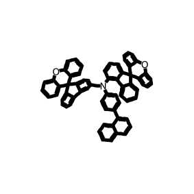 c1ccc2c(c1)Oc1ccccc1C21c2ccccc2-c2cc(N(c3ccc(-c4cccc5ccccc45)cc3)c3cccc4c3-c3ccccc3C43c4ccccc4Oc4ccccc43)ccc21